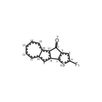 O=C1c2cc(F)sc2-c2cc3cccccc-3c21